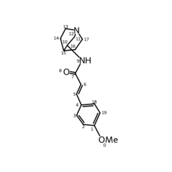 COc1ccc(/C=C/C(=O)NC2CN3CCC2CC3)cc1